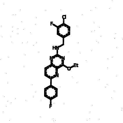 CCOc1nc(NCc2ccc(Cl)c(F)c2)nc2ccc(-c3ccc(F)cc3)nc12